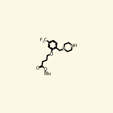 CC(C)(C)OC(=O)CCCOc1cc(C(F)(F)F)ccc1CN1CCNCC1